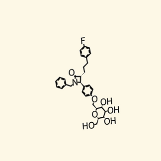 O=C1[C@H](CCCc2ccc(F)cc2)[C@@H](c2ccc(OC[C@@H]3O[C@H](CO)[C@@H](O)[C@H](O)[C@H]3O)cc2)N1Cc1ccccc1